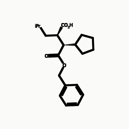 CC(C)C[C@@H](C(=O)O)[C@@H](C(=O)OCc1ccccc1)C1CCCC1